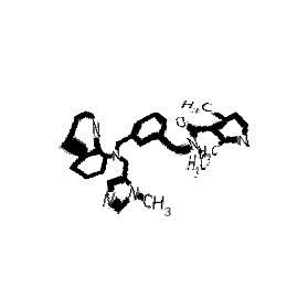 Cc1ccnc(C)c1C(=O)N(C)Cc1cccc(CN(Cc2cncn2C)C2CCCc3cccnc32)c1